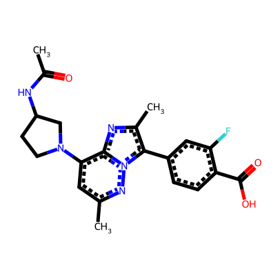 CC(=O)NC1CCN(c2cc(C)nn3c(-c4ccc(C(=O)O)c(F)c4)c(C)nc23)C1